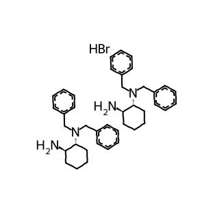 Br.N[C@@H]1CCCC[C@H]1N(Cc1ccccc1)Cc1ccccc1.N[C@@H]1CCCC[C@H]1N(Cc1ccccc1)Cc1ccccc1